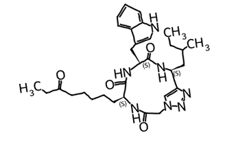 CCC(=O)CCCCC[C@@H]1NC(=O)Cn2cc(nn2)[C@H](CC(C)CC)NC(=O)[C@H](Cc2c[nH]c3ccccc23)NC1=O